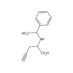 C#CCC(NC(C(=O)O)c1ccccc1)C(=O)O